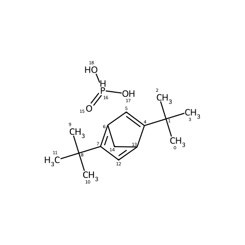 CC(C)(C)C1=CC2=C(C(C)(C)C)C=C1C2.O=[PH](O)O